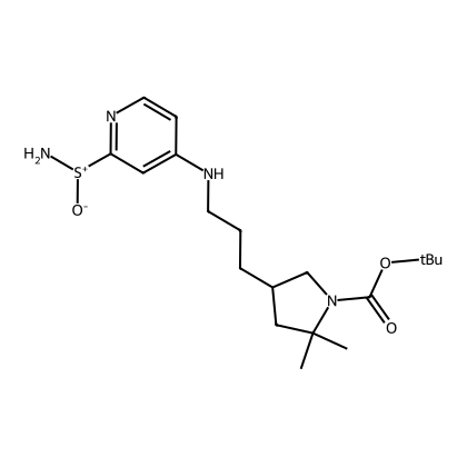 CC(C)(C)OC(=O)N1CC(CCCNc2ccnc([S+](N)[O-])c2)CC1(C)C